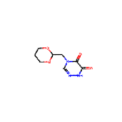 O=c1[nH]n[c]n(CC2OCCCO2)c1=O